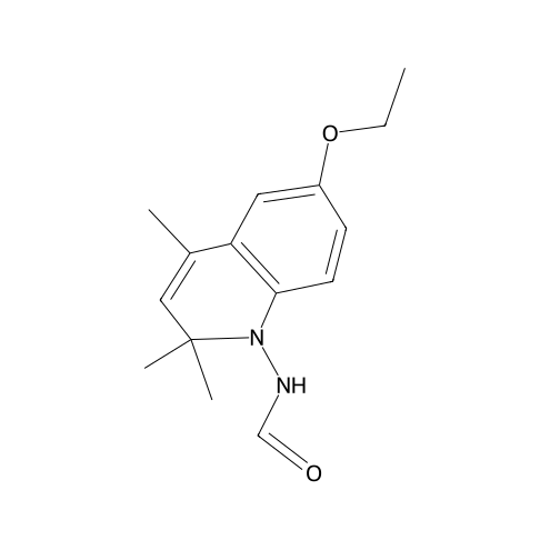 CCOc1ccc2c(c1)C(C)=CC(C)(C)N2NC=O